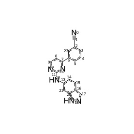 N#Cc1cccc(-c2ccnc(Nc3ccc4cn[nH]c4c3)n2)c1